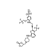 NS(=O)(=O)c1ccc(NCC#Cc2sc3c(NC4CCN(CC5COC(=O)O5)CC4)cccc3c2CC(F)(F)F)c(OCC(F)(F)F)c1